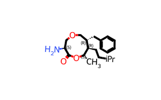 CC(C)CC[C@@H]1[C@@H](Cc2ccccc2)COC[C@H](N)C(=O)O[C@H]1C